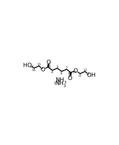 N.N.O=C(CCCCC(=O)OCCO)OCCO